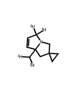 [2H]C([2H])C12C=CC([2H])([2H])N1CC1(CC1)C2